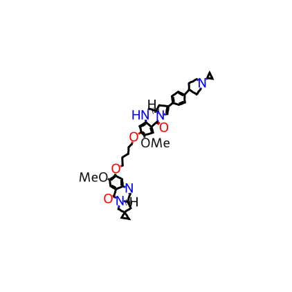 COc1cc2c(cc1OCCCCCOc1cc3c(cc1OC)C(=O)N1C=C(c4ccc(C5CCN(C6CC6)CC5)cc4)C[C@H]1CN3)N=C[C@@H]1CC3(CC3)CN1C2=O